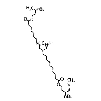 C=C=C=CC(CCCC)CCOC(=O)CCCCCCCCCC(CCCCCCCCCC(=O)OCCC(C)CCCC)CN(C)CC